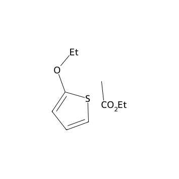 CCOC(C)=O.CCOc1cccs1